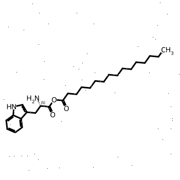 CCCCCCCCCCCCCCCC(=O)OC(=O)[C@@H](N)Cc1c[nH]c2ccccc12